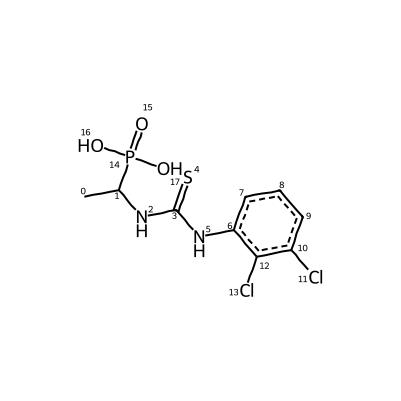 CC(NC(=S)Nc1cccc(Cl)c1Cl)P(=O)(O)O